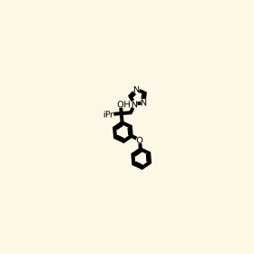 CC(C)C(O)(Cn1cncn1)c1cccc(Oc2ccccc2)c1